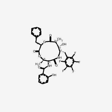 C[C@H]1OC(=O)C(Cc2ccccc2)OC(=O)[C@H](C)[C@H](O)[C@H](Cc2c(F)c(F)c(F)c(F)c2F)NC(=O)[C@H]1NC(=O)c1ccccc1O